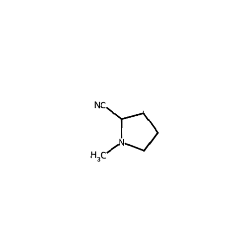 CN1CC[CH]C1C#N